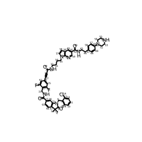 CC1(C)C(=O)N(Cc2c(F)cccc2Cl)c2cc(C(=O)NCc3c(F)cc(C#CC(=O)NCCCCn4ccc5cc(C(=O)NCCc6ccc(N7CCNCC7)cc6)cnc54)cc3F)ccc21